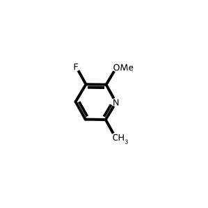 COc1nc(C)ccc1F